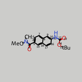 CON(C)C(=O)c1ccc2cc(NC(=O)OC(C)(C)C)ccc2c1